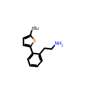 CC(C)(C)c1ccc(-c2ccccc2CCN)s1